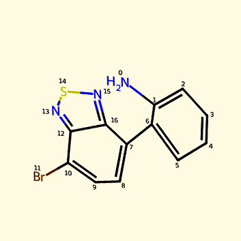 Nc1ccccc1-c1ccc(Br)c2nsnc12